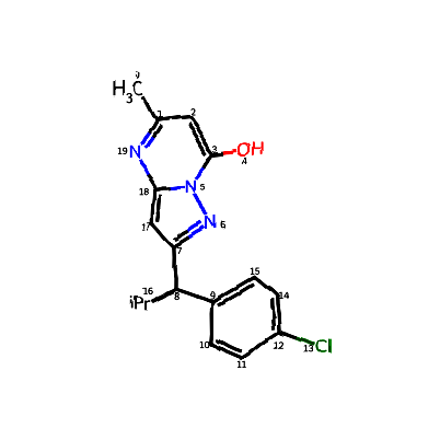 Cc1cc(O)n2nc(C(c3ccc(Cl)cc3)C(C)C)cc2n1